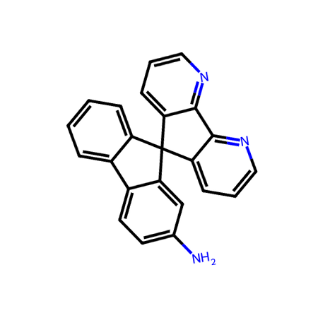 Nc1ccc2c(c1)C1(c3ccccc3-2)c2cccnc2-c2ncccc21